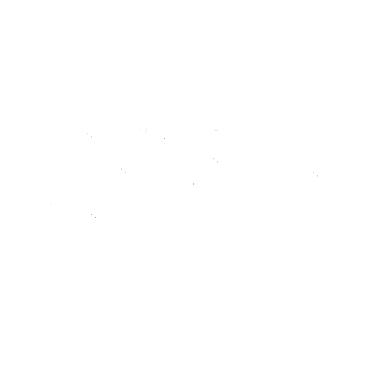 CC(C1CC1)N1C(=O)C2(CC2)c2cnc(NC3CCN(S(=O)(=O)c4ccc(=O)[nH]c4)CC3)nc21